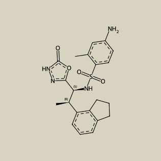 Cc1cc(N)ccc1S(=O)(=O)N[C@H](c1n[nH]c(=O)o1)[C@H](C)c1cccc2c1CCC2